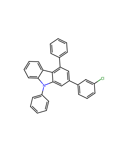 Clc1cccc(-c2cc(-c3ccccc3)c3c4ccccc4n(-c4ccccc4)c3c2)c1